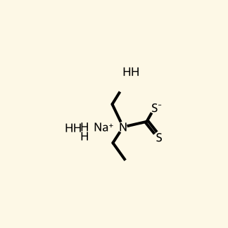 CCN(CC)C(=S)[S-].[HH].[HH].[HH].[Na+]